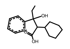 CCC(O)(c1ccccn1)C(C(=O)O)C1CCCCC1